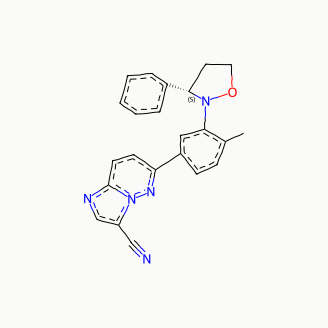 Cc1ccc(-c2ccc3ncc(C#N)n3n2)cc1N1OCC[C@H]1c1ccccc1